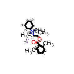 Cc1cccc(C)c1C(=O)O[C@H](C)C[N+](C)(C)C1CCCCC1.[I-]